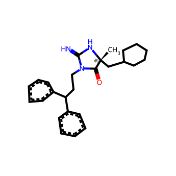 C[C@]1(CC2CCCCC2)NC(=N)N(CCC(c2ccccc2)c2ccccc2)C1=O